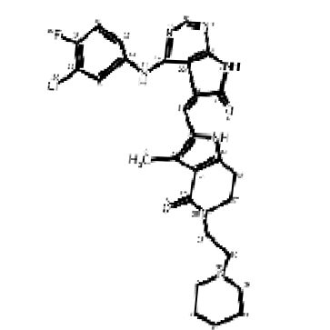 Cc1c(C=C2C(=O)Nc3ncnc(Nc4ccc(F)c(Cl)c4)c32)[nH]c2c1C(=O)N(CCN1CCCCC1)CC2